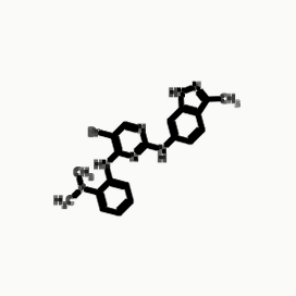 Cc1n[nH]c2cc(Nc3ncc(Br)c(Nc4ccccc4P(C)C)n3)ccc12